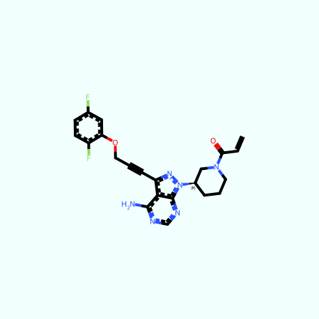 C=CC(=O)N1CCC[C@@H](n2nc(C#CCOc3cc(F)ccc3F)c3c(N)ncnc32)C1